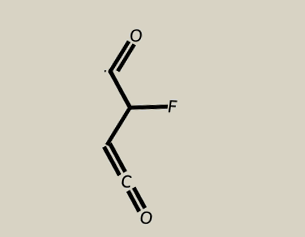 O=[C]C(F)C=C=O